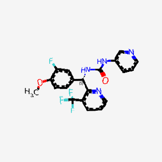 COc1ccc([C@H](NC(=O)Nc2cccnc2)c2ncccc2C(F)(F)F)cc1F